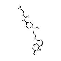 Cl.O=C1CCc2c(cccc2OCCCN2CCC(NC(=O)OCC3CC3)CC2)N1